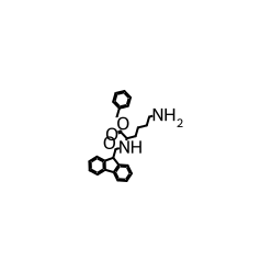 NCCCCC(NC(=O)C1c2ccccc2-c2ccccc21)C(=O)OCc1ccccc1